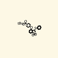 CC(C)(C)OC(=O)N1CCC(Oc2cccc3c2C(Sc2ccccc2)CS3(=O)=O)CC1